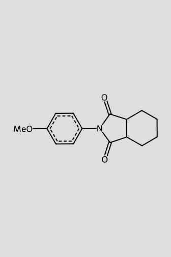 COc1ccc(N2C(=O)C3CCCCC3C2=O)cc1